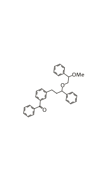 COC(COC(CCc1cccc(C(=O)c2ccccc2)c1)c1ccccc1)c1ccccc1